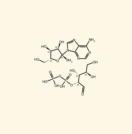 Nc1ncnc2c1ncn2[C@]1(N)O[C@H](CO)[C@@H](O)[C@H]1O.O=C[C@H](OP(=O)(O)OP(=O)(O)O)[C@H](O)[C@H](O)CO